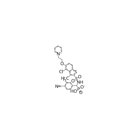 Cc1c(S(=O)(=O)NC(c2ccc(C#N)c(F)c2)P(=O)([O-])O)sc2ccc(OCC[n+]3ccccc3)c(Cl)c12